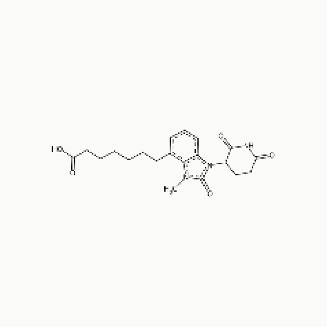 Cn1c(=O)n(C2CCC(=O)NC2=O)c2cccc(CCCCCCC(=O)O)c21